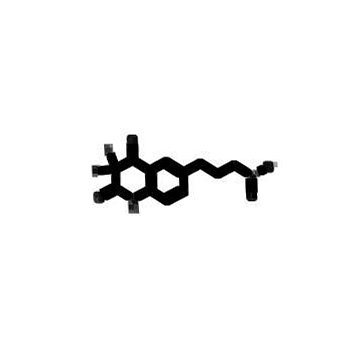 O=C1Nc2ccc(CCC[N+](=O)[O-])cc2C(=O)C1(F)F